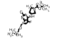 C[C@H]1C[C@@H](Nc2nc(Cl)nc3c2c(F)cn3COCC[Si](C)(C)C)CN1C(=O)OC(C)(C)C